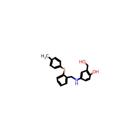 Cc1ccc(Sc2ccccc2CNc2ccc(O)c(CO)c2)cc1